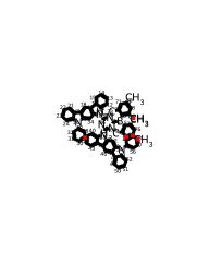 Cc1cc(C)c(B(c2nc(-n3c4ccccc4c4cc5c6ccccc6n(-c6ccccc6)c5cc43)nc(-n3c4ccccc4c4cc5c6ccccc6n(-c6ccccc6)c5cc43)n2)c2c(C)cc(C)cc2C)c(C)c1